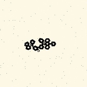 c1ccc(-c2c3c(c(N(c4ccccc4)c4ccc5sc6ccc(N(c7ccccc7)c7cccc8ccccc78)cc6c5c4)c4c2CCCC4)CCCC3)cc1